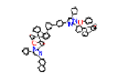 c1ccc(-c2cc(-c3ccc(-c4cccc(-c5cccc6c5-c5ccccc5C65c6ccccc6Oc6c(-c7nc(-c8ccccc8)cc(-c8ccc9ccccc9c8)n7)cccc65)c4)cc3)nc(-c3cccc4c3Oc3ccccc3C43c4ccccc4-c4ccccc43)n2)cc1